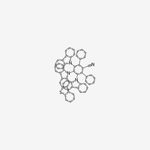 N#Cc1c(-c2ccccc2)c(-n2c3ccccc3c3ccccc32)c(-n2c3ccccc3c3cc4sc5ccccc5c4cc32)c(-n2c3ccccc3c3ccccc32)c1-c1ccccc1